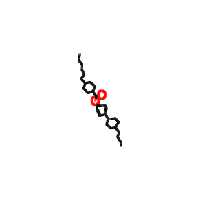 CCCCCCC1CCC(C(=O)Oc2ccc(C3CCC(CCCC)CC3)cc2)CC1